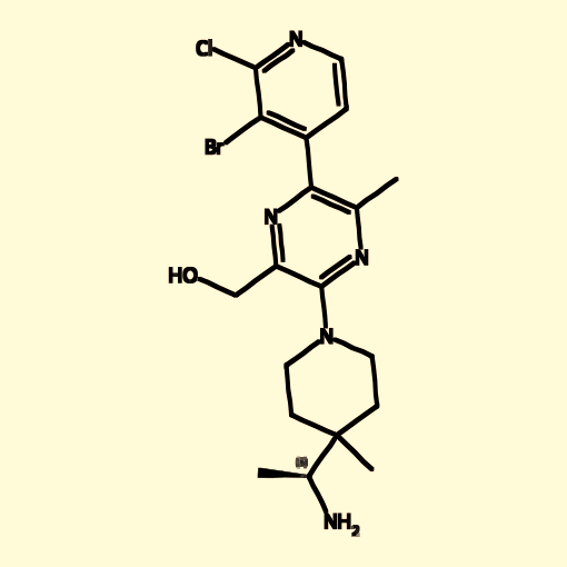 Cc1nc(N2CCC(C)([C@H](C)N)CC2)c(CO)nc1-c1ccnc(Cl)c1Br